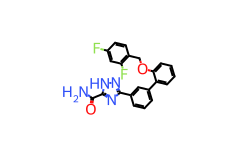 NC(=O)c1nc(-c2cccc(-c3ccccc3OCc3ccc(F)cc3F)c2)n[nH]1